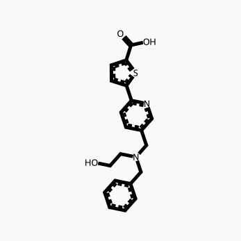 O=C(O)c1ccc(-c2ccc(CN(CCO)Cc3ccccc3)cn2)s1